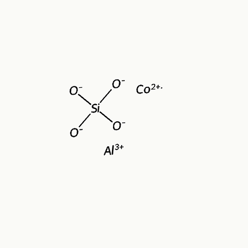 [Al+3].[Co+2].[O-][Si]([O-])([O-])[O-]